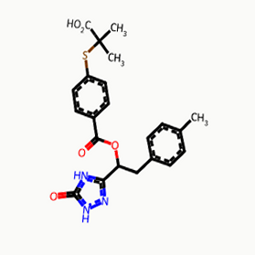 Cc1ccc(CC(OC(=O)c2ccc(SC(C)(C)C(=O)O)cc2)c2n[nH]c(=O)[nH]2)cc1